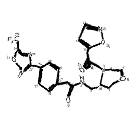 O=C(NC[C@@H]1COCCN1C(=O)c1ccno1)c1ccc(-c2noc(C(F)(F)F)n2)cc1